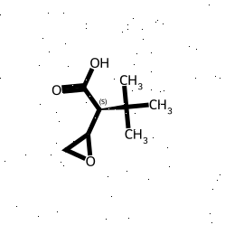 CC(C)(C)[C@H](C(=O)O)C1CO1